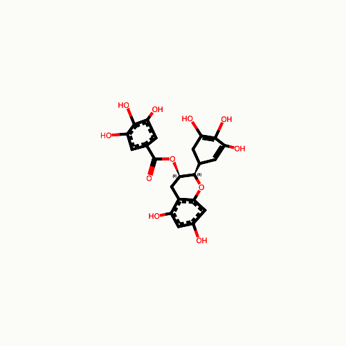 O=C(O[C@@H]1Cc2c(O)cc(O)cc2O[C@@H]1C1C=C(O)C(O)=C(O)C1)c1cc(O)c(O)c(O)c1